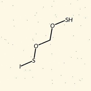 SOCOSI